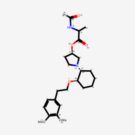 COc1ccc(CCO[C@@H]2CCCC[C@H]2N2CC[C@@H](OC(=O)C(C)NC(=O)C(C)C)C2)cc1OC